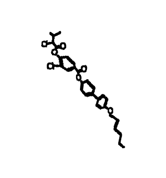 CCCCCCOc1ccc(-c2ccc(OC(=O)c3ccc(OC(=O)C(Cl)C(C)C)c(Cl)c3)cc2)cc1